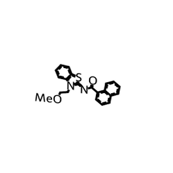 COCCn1c(=NC(=O)c2cccc3ccccc23)sc2ccccc21